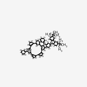 CC(C)(C)c1ccc2c(c1)c1cc(C(C)(C)C)ccc1n2-c1ccc2c3cc4cc(c5cccc(c5)c5cccc(c5)c5nc(-c6ccccc6)nc(n5)c5cccc(c5)c5cccc4c5)c3n(-c3ccccc3)c2c1